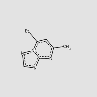 CCc1cc(C)nc2ncnn12